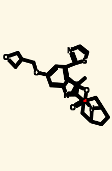 CC(C)(C)OC(=O)N1C2CCC1CN(c1nc3cc(OCC4COC4)cc(-c4nccs4)c3o1)C2